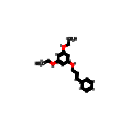 O=C(O)COc1cc(OCC=Cc2ccccc2)cc(OCC(=O)O)c1